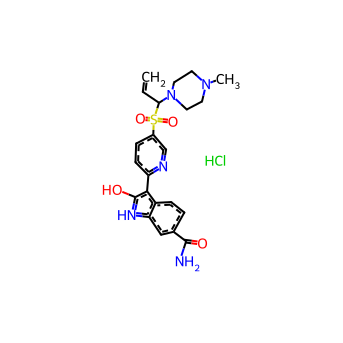 C=CC(N1CCN(C)CC1)S(=O)(=O)c1ccc(-c2c(O)[nH]c3cc(C(N)=O)ccc23)nc1.Cl